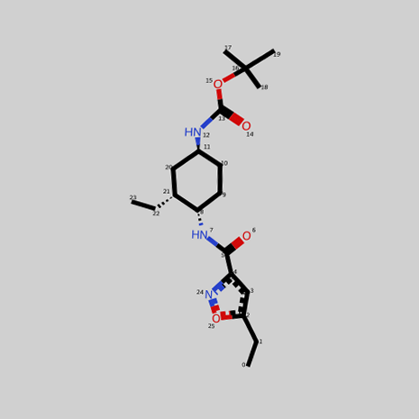 CCc1cc(C(=O)N[C@H]2CC[C@H](NC(=O)OC(C)(C)C)C[C@H]2CC)no1